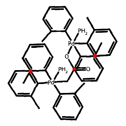 Cc1cccc[c]1[Pd]([PH2])([CH2]C(=O)[O][Pd]([PH2])([c]1ccccc1C)([c]1ccccc1C)[c]1ccccc1C)([c]1ccccc1C)[c]1ccccc1C